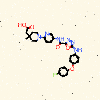 CC1(CC(=O)O)CCN(c2ccc(NC(=O)c3nnc(Nc4ccc(Oc5ccc(F)cc5)cc4)o3)cn2)CC1